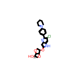 O[C@@H]1COC2C1OC[C@H]2Oc1cc2nc(-c3ccc(N4CCCCC4)cc3)c(Cl)cc2[nH]1